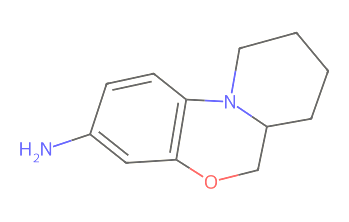 Nc1ccc2c(c1)OCC1CCCCN21